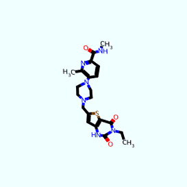 CCn1c(=O)[nH]c2cc(CN3CCN(c4ccc(C(=O)NC)nc4C)CC3)sc2c1=O